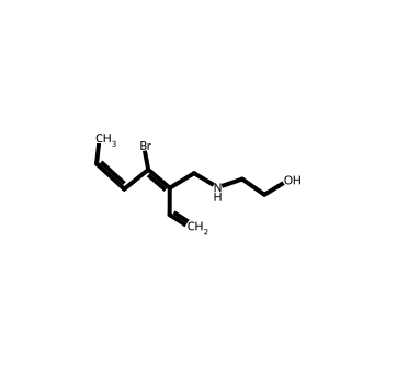 C=C/C(CNCCO)=C(Br)\C=C/C